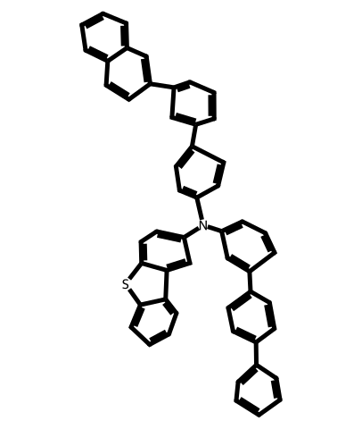 c1ccc(-c2ccc(-c3cccc(N(c4ccc(-c5cccc(-c6ccc7ccccc7c6)c5)cc4)c4ccc5sc6ccccc6c5c4)c3)cc2)cc1